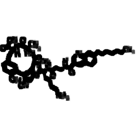 CCCCCCCc1ccc2cc(C(=O)NCCC(=O)N[C@@H](CCCCN)C(=O)N(C)[C@@H]3C(=O)N[C@@H](C)C(=O)N[C@H](C(=O)O)Cc4ccc(O)c(c4)-c4cc3ccc4O)cnc2c1